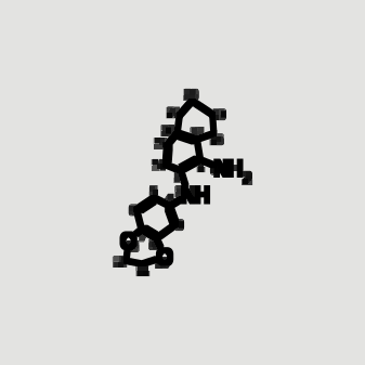 Nc1c(Nc2ccc3c(c2)OCCO3)ccc2c1CCCC2